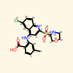 Cc1ccc(C(=O)O)c(Nc2cc(S(=O)(=O)C3COCCN3)nc3ccc(Cl)cc23)c1